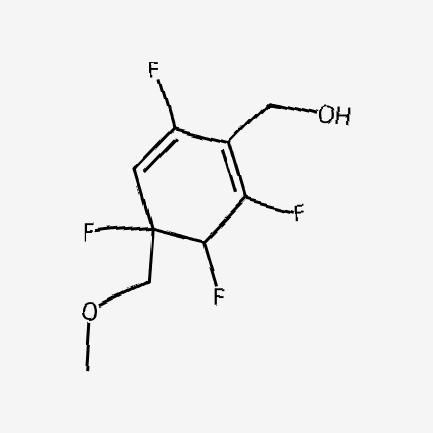 COCC1(F)C=C(F)C(CO)=C(F)C1F